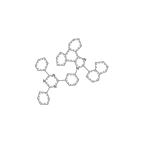 c1ccc(-c2nc(-c3ccccc3)nc(-c3cccc(-n4c(-c5cccc6ccccc56)nc5c6ccccc6c6ccccc6c54)c3)n2)cc1